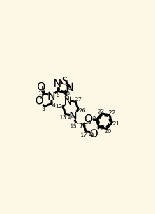 O=C1OCCN1c1nsnc1N1CCN(C[C@H]2COc3ccccc3O2)CC1